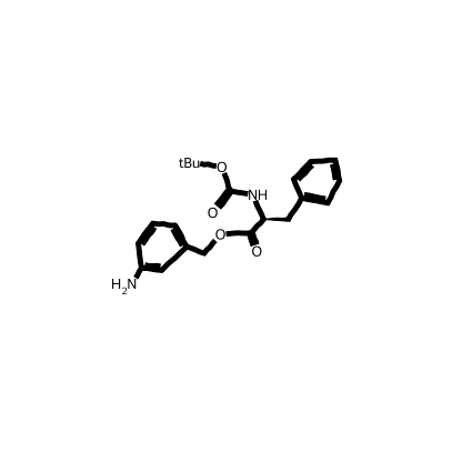 CC(C)(C)OC(=O)N[C@@H](Cc1ccccc1)C(=O)OCc1cccc(N)c1